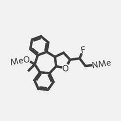 CNCC(F)C1CC2c3ccccc3C(C)(OC)c3ccccc3C2O1